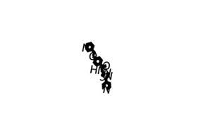 O=C(Nc1nnc(-c2ccncc2)s1)c1ccc(OCc2cccnc2)cc1